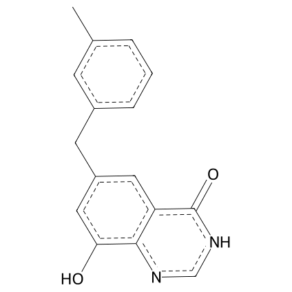 Cc1cccc(Cc2cc(O)c3nc[nH]c(=O)c3c2)c1